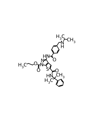 CCCOC(=O)n1nc(NC(=O)c2ccc(CNC(C)C)cc2)c2cc(C(=O)NC(C)(C)c3ccccc3)sc21